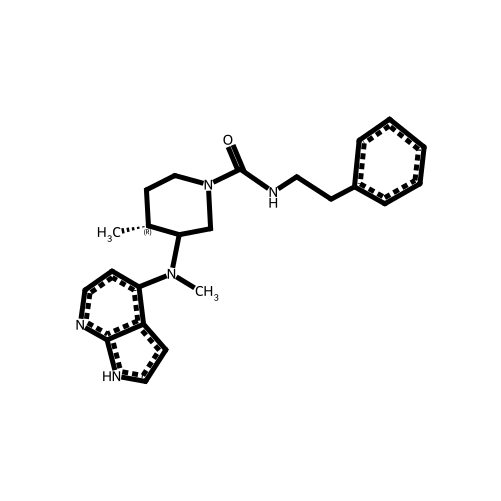 C[C@@H]1CCN(C(=O)NCCc2ccccc2)CC1N(C)c1ccnc2[nH]ccc12